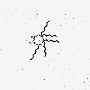 CCCCCC[SiH]1O[SiH2]O[SiH2]O[Si](CCCCCC)(CCCCCC)O[Si](CCCCCC)(CCCCCC)O1